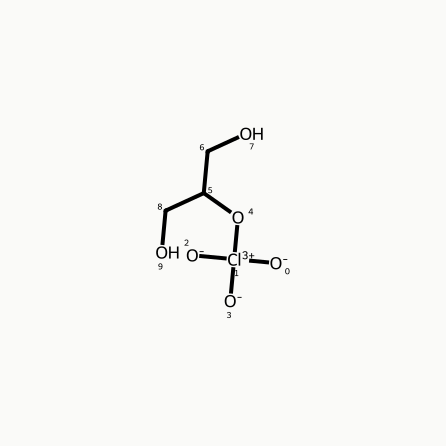 [O-][Cl+3]([O-])([O-])OC(CO)CO